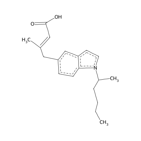 CCCCC(C)n1ccc2cc(CC(C)=CC(=O)O)ccc21